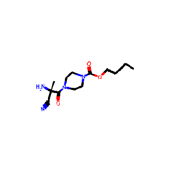 CCCCOC(=O)N1CCN(C(=O)[C@@](C)(N)C#N)CC1